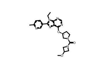 CCn1c(-c2ccc(C)nc2)nc2c(O[C@H]3CCN(C(=O)N4CC(OC)C4)C3)ncnc21